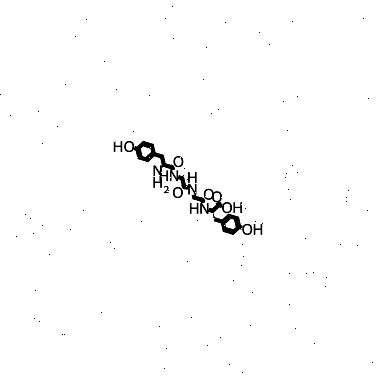 N[C@@H](Cc1ccc(O)cc1)C(=O)NCC(=O)NCC(=O)N[C@@H](Cc1ccc(O)cc1)C(=O)O